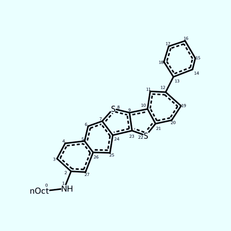 CCCCCCCCNc1ccc2cc3sc4c5cc(-c6ccccc6)ccc5sc4c3cc2c1